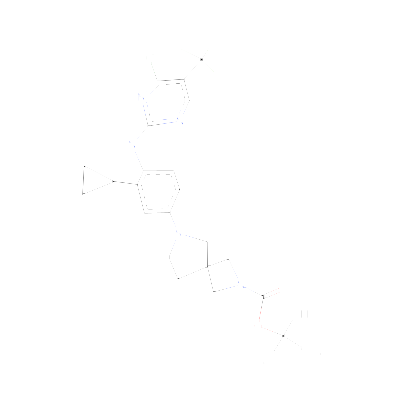 CC(C)(C)OC(=O)N1CC2(CCN(c3ccc(Nc4ncc(C(F)(F)F)c(Cl)n4)c(C4CC4)c3)C2)C1